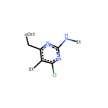 CCCCCCCCCc1nc(NCC)nc(Cl)c1CC